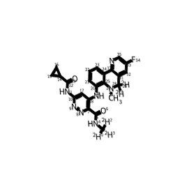 [2H]C([2H])([2H])NC(=O)c1nnc(NC(=O)C2CC2)cc1Nc1cccc2c1N(C)C([2H])([2H])c1cc(F)cnc1-2